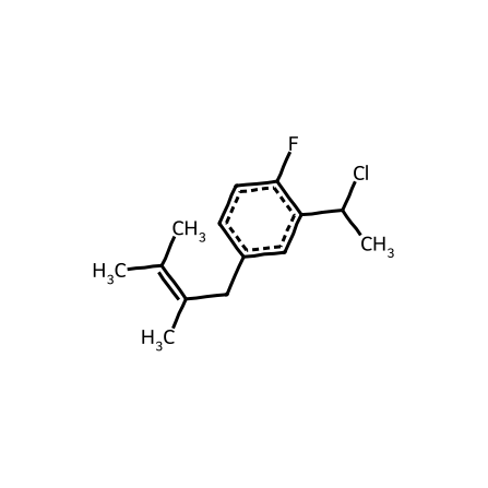 CC(C)=C(C)Cc1ccc(F)c(C(C)Cl)c1